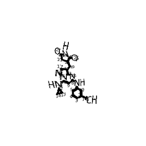 C#Cc1cccc(Nc2cc(NC3CC3)n3ncc(C=C4CC(=O)NC4=O)c3n2)c1